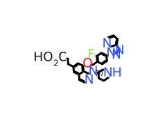 O=C(O)CCc1ccc2c(N(C(=O)c3ccc(-n4nnc5cccnc54)cc3F)[C@@H]3CCCNC3)nccc2c1